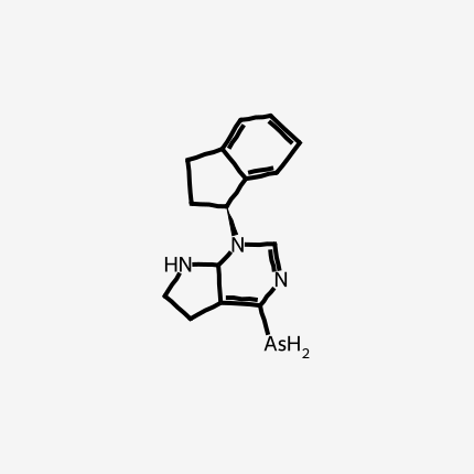 [AsH2]C1=C2CCNC2N([C@H]2CCc3ccccc32)C=N1